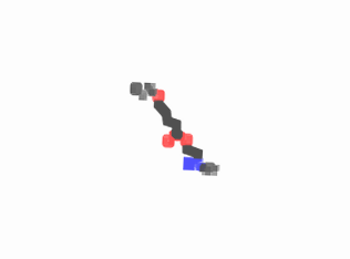 CC(C)NCCOC(=O)CCCCO[N+](=O)[O-]